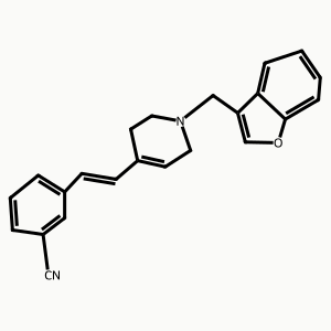 N#Cc1cccc(C=CC2=CCN(Cc3coc4ccccc34)CC2)c1